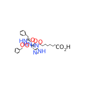 O=C(O)CCCCCCC(=O)NC(=O)[C@H](Cc1c[nH]cn1)NC(=O)[C@H](Cc1ccccc1)NC(=O)OCc1ccccc1